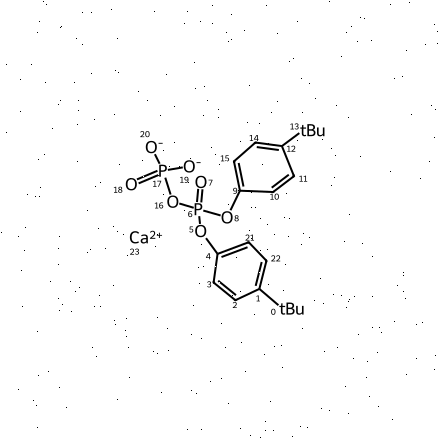 CC(C)(C)c1ccc(OP(=O)(Oc2ccc(C(C)(C)C)cc2)OP(=O)([O-])[O-])cc1.[Ca+2]